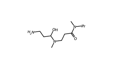 CC(C)N(C)C(=O)CCN(C)C(O)CCN